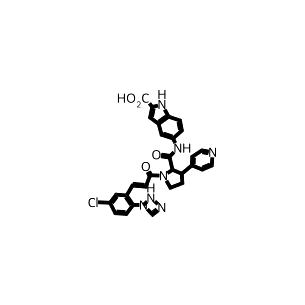 O=C(O)c1cc2cc(NC(=O)C3C(c4ccncc4)CCN3C(=O)/C=C/c3cc(Cl)ccc3-n3cn[nH]3)ccc2[nH]1